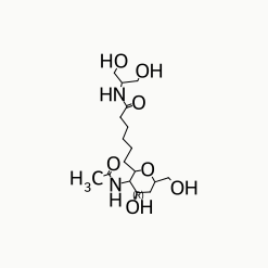 CC(=O)NC1C(CCCCCC(=O)NC(CO)CO)OC(CO)C[C@H]1O